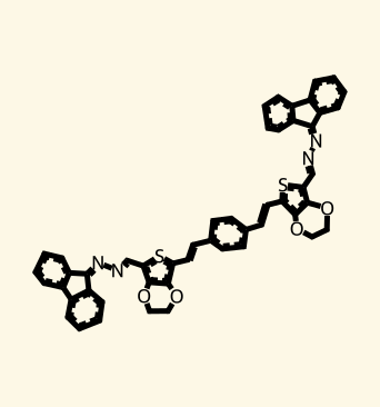 C(=C\c1sc(/C=N/N=C2c3ccccc3-c3ccccc32)c2c1OCCO2)/c1ccc(/C=C/c2sc(/C=N/N=C3c4ccccc4-c4ccccc43)c3c2OCCO3)cc1